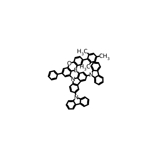 Cc1cc(C)c(-c2ccc3c(c2)B2c4c(cc(-c5ccccc5)cc4-n4c5ccc(-n6c7ccccc7c7ccccc76)cc5c5cc(-n6c7ccccc7c7ccccc76)cc2c54)O3)c(C)c1